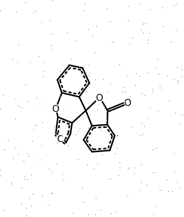 O=C1OC2(c3ccc[c]c31)c1ccccc1Oc1ccccc12